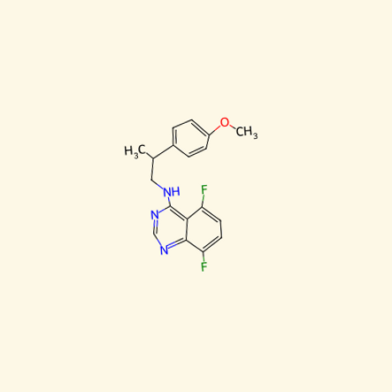 COc1ccc(C(C)CNc2ncnc3c(F)ccc(F)c23)cc1